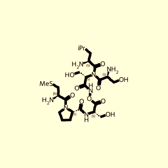 CSC[C@H](N)C(=O)N1CCC[C@H]1C(=O)N[C@@H](CO)C(=O)ONC(=O)[C@H](CO)N(C(=O)[C@@H](N)CO)C(=O)[C@@H](N)CC(C)C